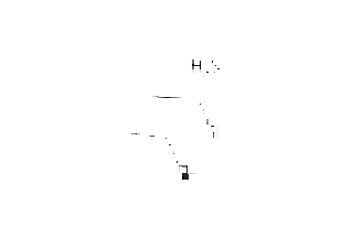 CCS.CCS.S